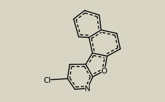 Clc1cnc2oc3ccc4ccccc4c3c2c1